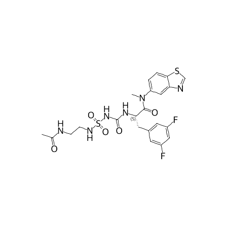 CC(=O)NCCNS(=O)(=O)NC(=O)N[C@@H](Cc1cc(F)cc(F)c1)C(=O)N(C)c1ccc2scnc2c1